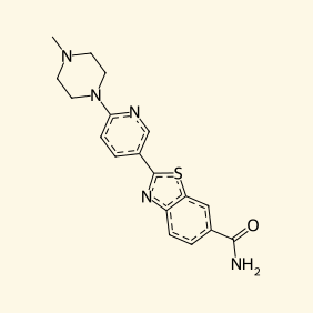 CN1CCN(c2ccc(-c3nc4ccc(C(N)=O)cc4s3)cn2)CC1